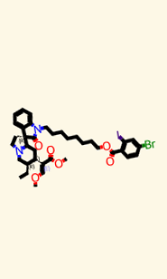 CC[C@H]1CN2CC[C@]3(C(=O)N(CCCCCCCCOC(=O)c4ccc(Br)cc4I)c4ccccc43)C2C[C@@H]1/C(=C\OC)C(=O)OC